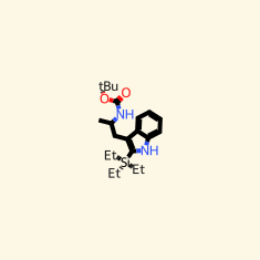 CC[Si](CC)(CC)c1[nH]c2ccccc2c1CC(C)NC(=O)OC(C)(C)C